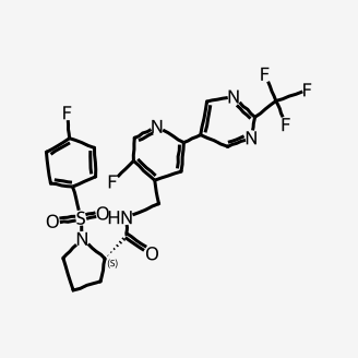 O=C(NCc1cc(-c2cnc(C(F)(F)F)nc2)ncc1F)[C@@H]1CCCN1S(=O)(=O)c1ccc(F)cc1